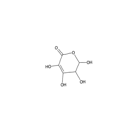 O=C1OC(O)C(O)C(O)=C1O